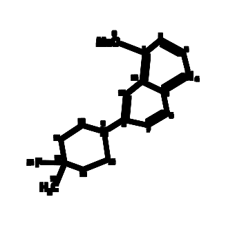 COc1ccnc2ccc(N3CCC(C)(F)CC3)cc12